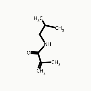 C=C(C)C(=O)N[CH]C(C)C